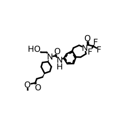 COC(=O)CC[C@H]1CC[C@H](N(CCO)C(=O)Nc2ccc3c(c2)CCN(C(=O)C(F)(F)F)CC3)CC1